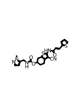 Cn1nccc1CNC(=O)OC1CCc2c(sc(NC(=O)C=Cc3cccs3)c2C#N)C1